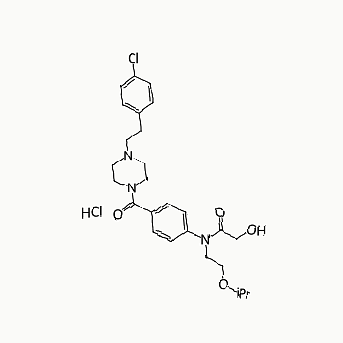 CC(C)OCCN(C(=O)CO)c1ccc(C(=O)N2CCN(CCc3ccc(Cl)cc3)CC2)cc1.Cl